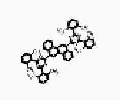 Cc1cccc(C)c1-c1nc(-c2c(C)cccc2C)nc(-c2cc3c4ccccc4c(-c4nc(-c5c(C)cccc5C)nc(-c5c(C)cccc5C)n4)cc3c3ccccc23)n1